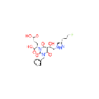 O=C(O)CCC(C(=O)O)N1C(=O)C(=C(O)Cn2cc(CCCF)nn2)C(=O)N(Cc2ccccc2)C1=O